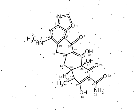 CNc1cc2ncoc2c2c1CC1C[C@H]3C(C)C(O)=C(C(N)=O)C(=O)[C@@]3(O)C(O)=C1C2=O